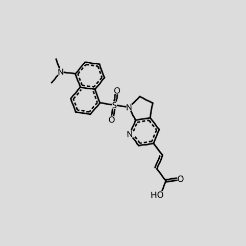 CN(C)c1cccc2c(S(=O)(=O)N3CCc4cc(C=CC(=O)O)cnc43)cccc12